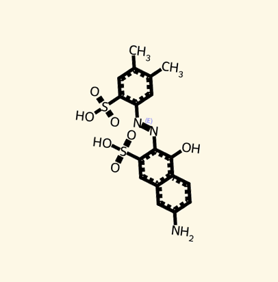 Cc1cc(/N=N/c2c(S(=O)(=O)O)cc3cc(N)ccc3c2O)c(S(=O)(=O)O)cc1C